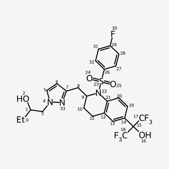 CCC(O)Cn1ccc(CC2CCc3cc(C(O)(C(F)(F)F)C(F)(F)F)ccc3N2S(=O)(=O)c2ccc(F)cc2)n1